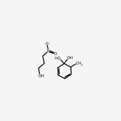 CC1C=CC=CC1(O)O.O=[N+]([O-])CCCO